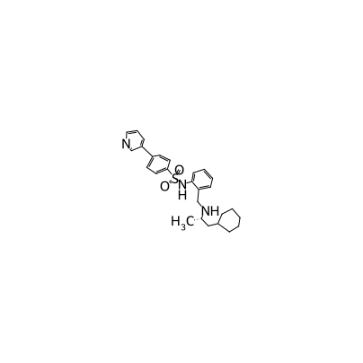 C[C@@H](CC1CCCCC1)NCc1ccccc1NS(=O)(=O)c1ccc(-c2cccnc2)cc1